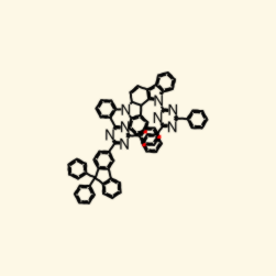 C1=CC2C(c3ccccc3N2c2ccccc2-c2nc(-c3ccccc3)nc(-c3ccc4c(c3)-c3ccccc3C4(c3ccccc3)c3ccccc3)n2)c2c1c1ccccc1n2-c1nc(-c2ccccc2)nc(-c2ccccc2)n1